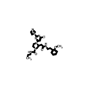 CCCNC(=O)N1CCN(c2cc(Cl)nc(-n3ccnc3)n2)C(CC(=O)NCCc2ccccc2OC)C1